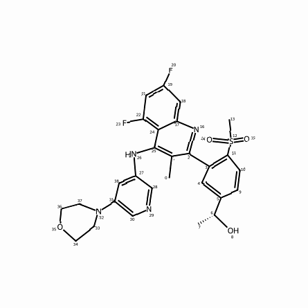 Cc1c(-c2cc([C@@H](C)O)ccc2S(C)(=O)=O)nc2cc(F)cc(F)c2c1Nc1cncc(N2CCOCC2)c1